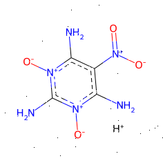 Nc1c([N+](=O)[O-])c(N)[n+]([O-])c(N)[n+]1[O-].[H+]